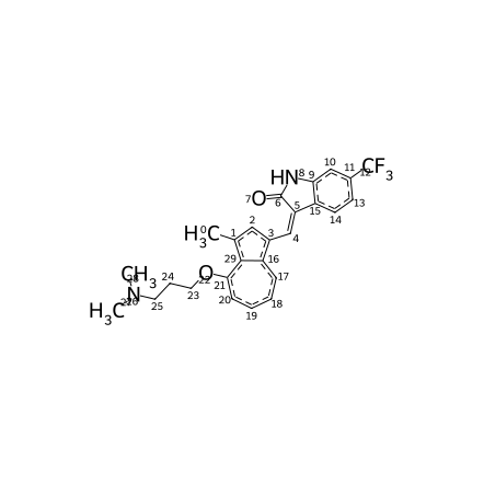 Cc1cc(/C=C2\C(=O)Nc3cc(C(F)(F)F)ccc32)c2ccccc(OCCCN(C)C)c1-2